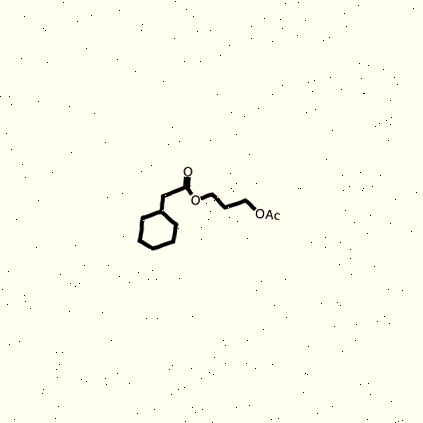 CC(=O)OCCCOC(=O)CC1CCCCC1